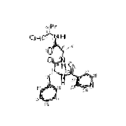 CC(C)[C@@H](C=O)NC(=O)[C@H](C)NC(=O)[C@@H](Cc1ccccc1)NC(=O)c1ccncc1